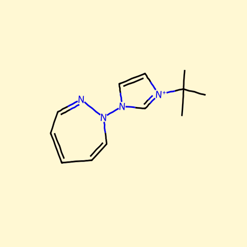 CC(C)(C)[n+]1ccn(N2C=CC=CC=N2)c1